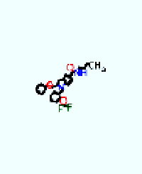 CCCCNC(=O)c1ccc2c(c1)cc(COc1ccccc1)n2Cc1ccccc1OC(F)F